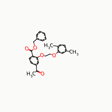 CC(=O)c1ccc(C(=O)OCc2ccccc2)c(OCCOc2cc(C)ccc2C)c1